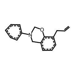 C=CCc1cccc2c1OCN(c1ccccc1)C2